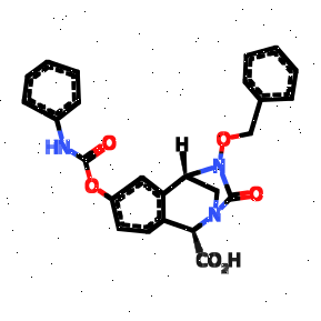 O=C(Nc1ccccc1)Oc1ccc2c(c1)[C@H]1CN(C(=O)N1OCc1ccccc1)[C@H]2C(=O)O